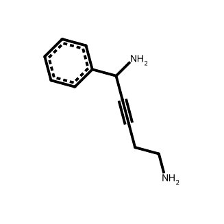 NCCC#CC(N)c1ccccc1